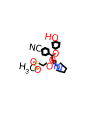 CS(=O)(=O)CCCOC(=O)N1CC2CCC(C1)N2CCCC(Oc1ccc(O)cc1)c1ccc(C#N)cc1